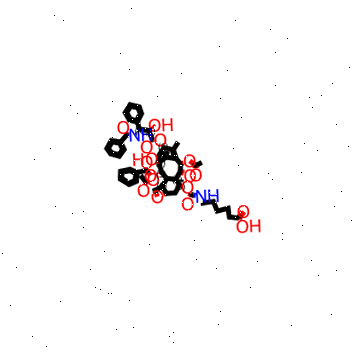 CC(=O)OC1C(=O)[C@@]2(C)C([C@H](OC(=O)c3ccccc3)[C@]3(O)C[C@H](OC(=O)[C@H](O)[C@H](NC(=O)c4ccccc4)c4ccccc4)C(C)=C1C3(C)C)[C@]1(OC(C)=O)COC1C[C@@H]2OC(=O)NCCCCCC(=O)O